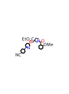 CCOC(=O)C1(COc2ccc(-c3ccc(C#N)cc3)nc2)CCN(C(=O)c2ccccc2OC)C1